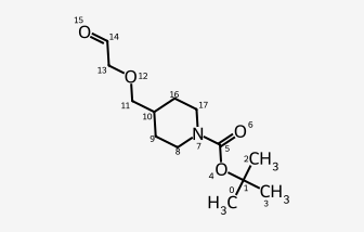 CC(C)(C)OC(=O)N1CCC(COCC=O)CC1